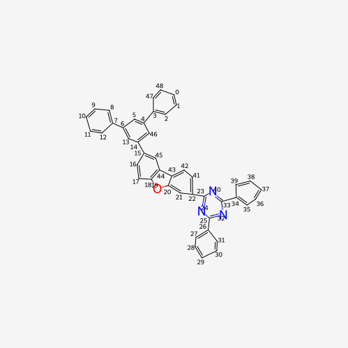 c1ccc(-c2cc(-c3ccccc3)cc(-c3ccc4oc5cc(-c6nc(-c7ccccc7)nc(-c7ccccc7)n6)ccc5c4c3)c2)cc1